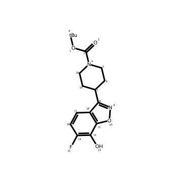 CC(C)(C)OC(=O)N1CCC(c2noc3c(O)c(F)ccc23)CC1